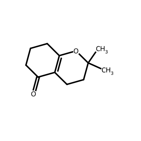 CC1(C)CCC2=C(CCCC2=O)O1